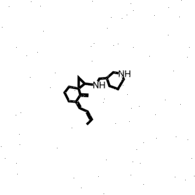 C=C1/C(=C\C=C/C)CCCC12CC2NCC1CCCNC1